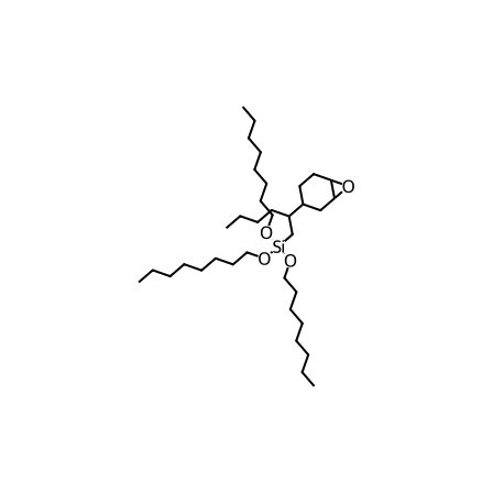 CCCCCCCCO[Si](CC(CCCC)C1CCC2OC2C1)(OCCCCCCCC)OCCCCCCCC